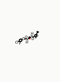 CC1OC(C2CC2)CC1C(=O)NC12CC(NC(=O)COc3ccc(Cl)c(F)c3)(C1)C2